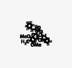 COc1cc([C@H](O)[C@@H](OC2Cc3ccccc3C2)C(=O)N2C(=O)OCC2Cc2ccccc2)cc(OC)c1C